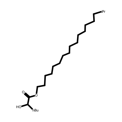 CCCCC(O)C(=O)OCCCCCCCCCCCCCCCC(C)C